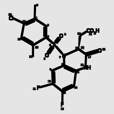 Cc1cc(S(=O)(=O)N2c3cc(F)c(F)cc3NC(=O)[C@H]2CC(=O)O)c(C)cc1Cl